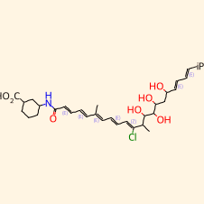 CC(/C=C/C=C/C(=O)NC1CCCC(C(=O)O)C1)=C\C=C\C=C(/Cl)C(C)C(O)C(O)C(O)CC(O)/C=C/C=C/C(C)C